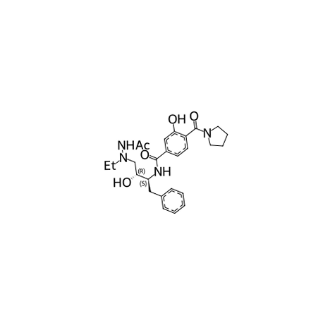 CCN(C[C@@H](O)[C@H](Cc1ccccc1)NC(=O)c1ccc(C(=O)N2CCCC2)c(O)c1)NC(C)=O